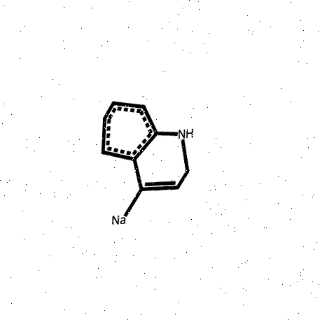 [Na][C]1=CCNc2ccccc21